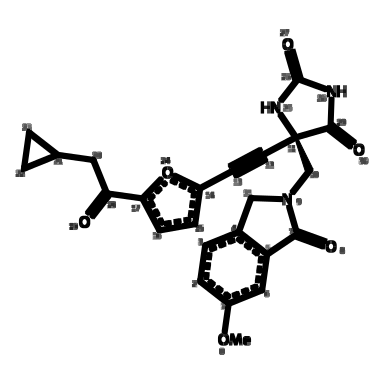 COc1ccc2c(c1)C(=O)N(C[C@@]1(C#Cc3ccc(C(=O)CC4CC4)o3)NC(=O)NC1=O)C2